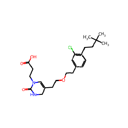 CC(C)(C)CCc1ccc(CCOCCC2=CN(CCC(=O)O)C(=O)NC2)cc1Cl